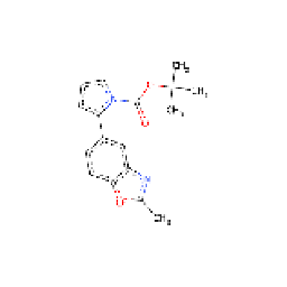 Cc1nc2cc(-c3cccn3C(=O)OC(C)(C)C)ccc2o1